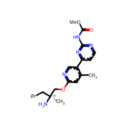 COC(=O)Nc1nccc(-c2cnc(OC[C@@](C)(N)CC(C)C)cc2C)n1